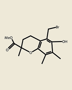 COC(=O)C1(C)CCc2c(CBr)c(O)c(C)c(C)c2O1